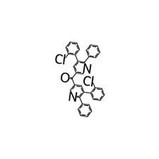 O=C(c1cnc(-c2ccccc2)c(-c2ccccc2Cl)c1)c1cnc(-c2ccccc2)c(-c2ccccc2Cl)c1